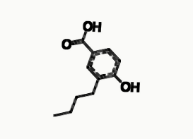 CCCCc1cc(C(=O)O)ccc1O